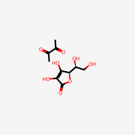 CC(=O)C(C)=O.O=C1O[C@H]([C@@H](O)CO)C(O)=C1O